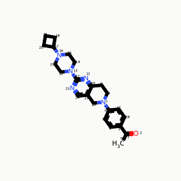 CC(=O)c1ccc(N2CCc3nc(N4CCN(C5CCC5)CC4)ncc3C2)cc1